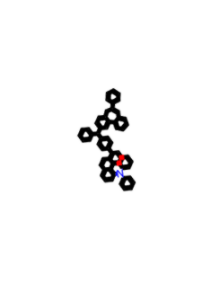 C1=C(c2ccccc2)Cc2ccc(C(c3ccccc3)c3ccc(-c4cccc5c4ccc4cccc(N(c6ccccc6)c6ccccc6)c45)cc3)cc2-c2ccccc21